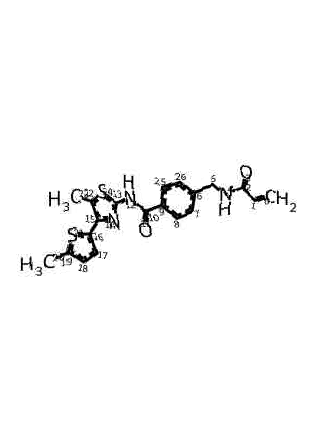 C=CC(=O)NCc1ccc(C(=O)Nc2nc(-c3ccc(C)s3)c(C)s2)cc1